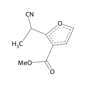 COC(=O)c1ccoc1C(C)C#N